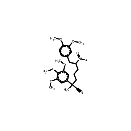 COc1ccc(CC(CCCC(C)(C#N)c2cc(OC)c(OC)c(OC)c2)[N+](=O)[O-])cc1OC